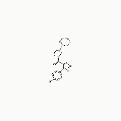 O=C(c1cnoc1-c1ccc(I)cc1)N1CCC(c2ccccc2)C1